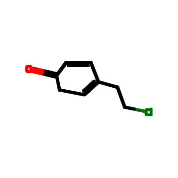 O=C1C=CC(CCCl)=CC1